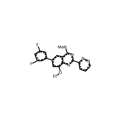 CCOc1cc(-c2cc(F)cc(F)c2)cc2c(NC)nc(-c3cccnn3)nc12